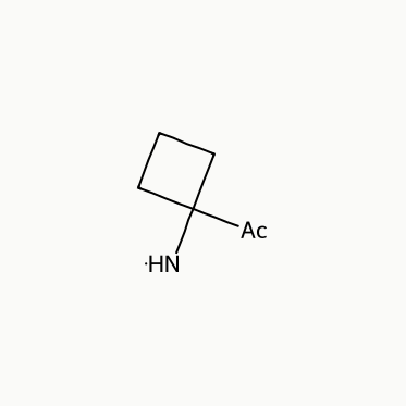 CC(=O)C1([NH])CCC1